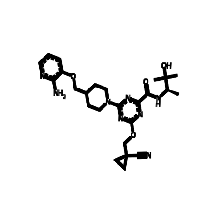 C[C@@H](NC(=O)c1nc(OCC2(C#N)CC2)nc(N2CCC(COc3cccnc3N)CC2)n1)C(C)(C)O